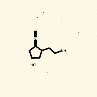 C=C=C1CCCC1CCN.Cl